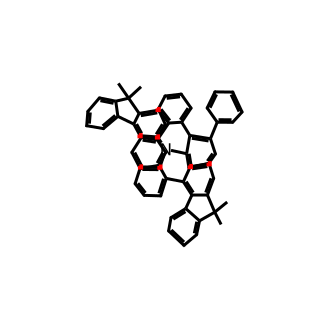 CC1(C)c2ccccc2-c2cc(N(c3ccccc3-c3cccc4c3-c3ccccc3C4(C)C)c3cccc(-c4ccccc4)c3-c3ccccc3-c3ccccc3)ccc21